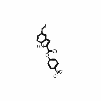 O=C(Oc1ccc([N+](=O)[O-])cc1)c1cc2cc(CI)ccc2[nH]1